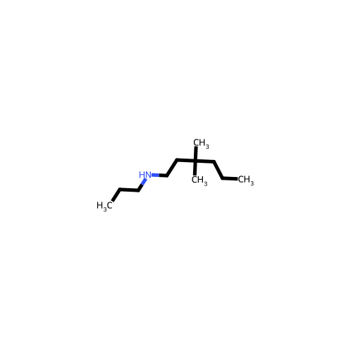 CCCNCCC(C)(C)CCC